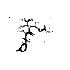 CCOC(=O)/C(C)=C/[C@H](C(C)C)N(C(=O)[C@H](NC)C(C)(C)c1cccc(C)c1)[C@H](C(=O)NC)C(C)(C)C